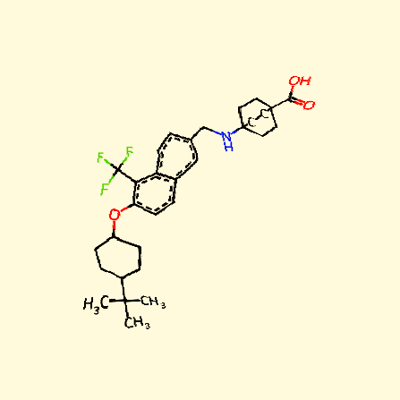 CC(C)(C)C1CCC(Oc2ccc3cc(CNC45CCC(C(=O)O)(CC4)CC5)ccc3c2C(F)(F)F)CC1